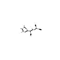 C#C/C(C#N)=C/C(N)=C(\C#N)c1cc(O)c(O)c(O)c1